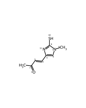 CC(=O)C=Cc1cn(C)c(S)n1